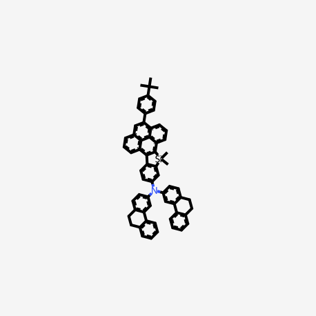 CC(C)(C)c1ccc(-c2cc3cccc4c5c(c6cccc2c6c34)[Si](C)(C)c2cc(N(c3ccc4c(c3)-c3ccccc3CC4)c3ccc4c(c3)-c3ccccc3CC4)ccc2-5)cc1